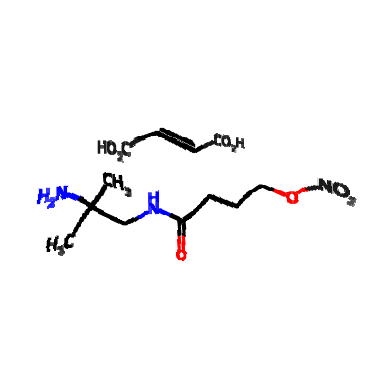 CC(C)(N)CNC(=O)CCCO[N+](=O)[O-].O=C(O)C=CC(=O)O